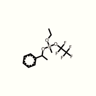 CCO[Si](C)(OC(C)c1ccccc1)OC(F)(F)C(F)(F)F